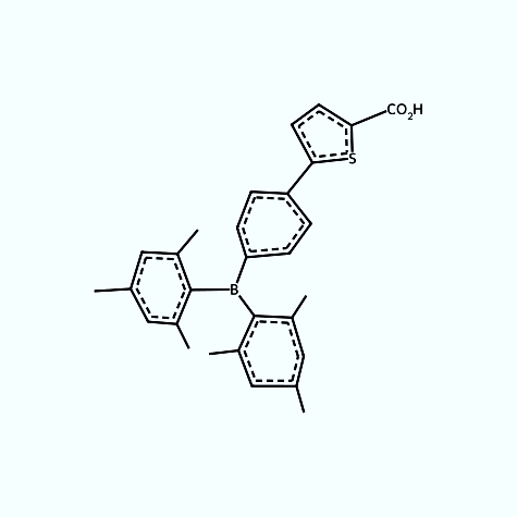 Cc1cc(C)c(B(c2ccc(-c3ccc(C(=O)O)s3)cc2)c2c(C)cc(C)cc2C)c(C)c1